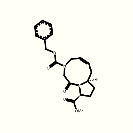 COC(=O)[C@@H]1CC[C@@H]2C/C=C\CN(C(=O)OCc3ccccc3)CC(=O)N21